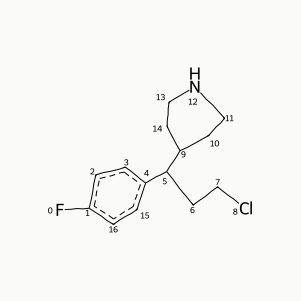 Fc1ccc(C(CCCl)C2CCNCC2)cc1